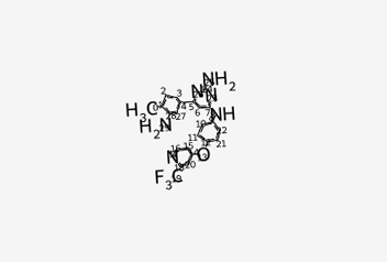 Cc1ccc(-c2cc(Nc3ccc(Oc4ccnc(C(F)(F)F)c4)cc3)nc(N)n2)cc1N